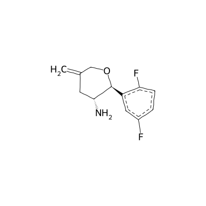 C=C1CO[C@@H](c2cc(F)ccc2F)[C@H](N)C1